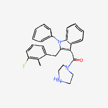 Cc1c(F)cccc1Cc1c(C(=O)N2CCNCC2)c2ccccc2n1-c1ccccc1